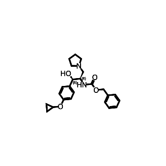 O=C(N[C@H](CN1CCCC1)[C@H](O)c1ccc(OC2CC2)cc1)OCc1ccccc1